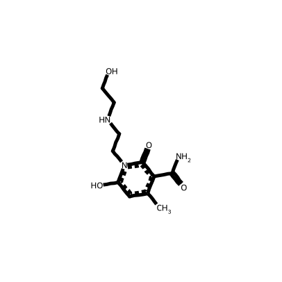 Cc1cc(O)n(CCNCCO)c(=O)c1C(N)=O